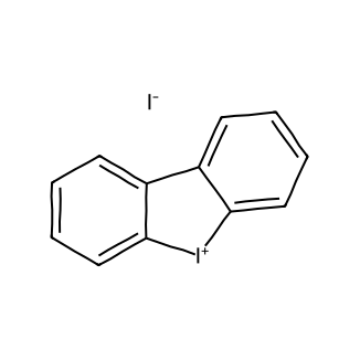 [I-].c1ccc2c(c1)[I+]c1ccccc1-2